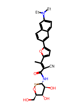 CCN(CC)c1ccc2cc(-c3ccc(/C(C)=C(\C#N)C(=O)N[C@H]4SO[C@H](CO)[C@@H](O)[C@@H]4O)o3)ccc2c1